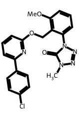 COc1cccc(-n2nnn(C)c2=O)c1COc1cccc(-c2ccc(Cl)cc2)n1